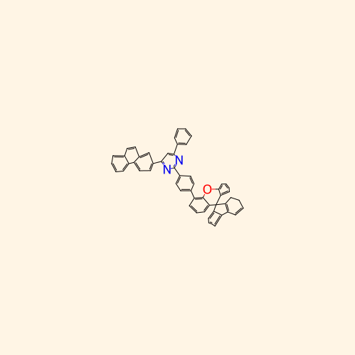 C1=CC2=C(CC1)C1(c3ccccc3Oc3c(-c4ccc(-c5nc(-c6ccccc6)cc(-c6ccc7c(ccc8ccccc87)c6)n5)cc4)cccc31)c1ccccc12